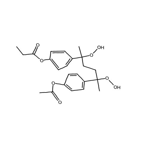 CCC(=O)Oc1ccc(C(C)(CCC(C)(OO)c2ccc(OC(C)=O)cc2)OO)cc1